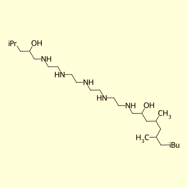 CCC(C)CC(C)CC(C)CC(O)CNCCNCCNCCNCCNCC(O)CC(C)C